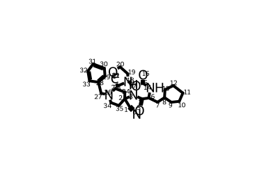 N#CC1(NC(=O)C(CC2CCCCC2)NC(=O)ON2CCOCC2)CCN(Cc2ccccc2)CC1